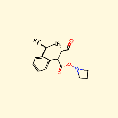 CC(C)c1ccccc1C(CC=O)C(=O)ON1CCC1